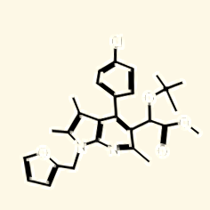 COC(=O)C(OC(C)(C)C)c1c(C)nc2c(c(C)c(C)n2Cc2ccco2)c1-c1ccc(Cl)cc1